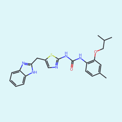 Cc1ccc(NC(=O)Nc2ncc(Cc3nc4ccccc4[nH]3)s2)c(OCC(C)C)c1